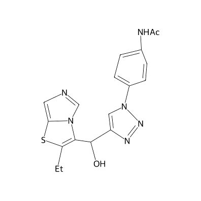 CCc1sc2cncn2c1C(O)c1cn(-c2ccc(NC(C)=O)cc2)nn1